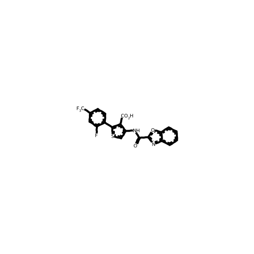 O=C(Nc1csc(-c2ccc(C(F)(F)F)cc2F)c1C(=O)O)c1nc2ccccc2o1